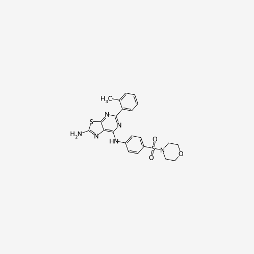 Cc1ccccc1-c1nc(Nc2ccc(S(=O)(=O)N3CCOCC3)cc2)c2nc(N)sc2n1